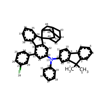 CC1(C)c2ccccc2-c2ccc(N(c3ccccc3)c3cc(-c4cccc(F)c4)c4c(c3)C3(c5ccccc5-4)C4CC5CC(C4)CC3C5)cc21